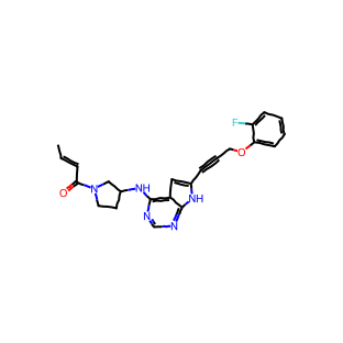 CC=CC(=O)N1CCC(Nc2ncnc3[nH]c(C#CCOc4ccccc4F)cc23)C1